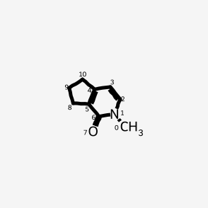 Cn1ccc2c(c1=O)CCC2